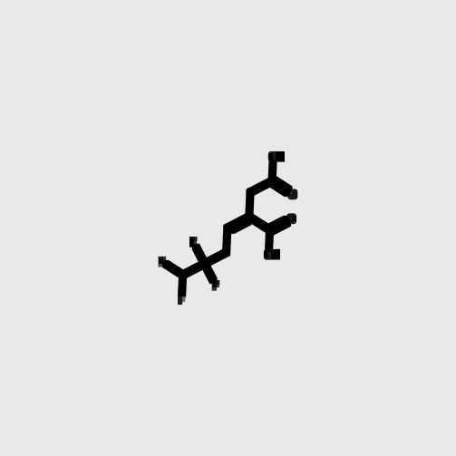 O=C(O)CC(=CCC(F)(F)C(F)F)C(=O)O